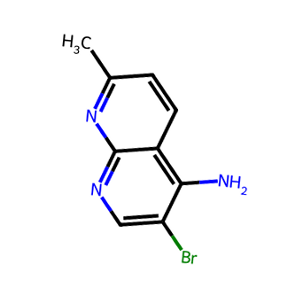 Cc1ccc2c(N)c(Br)cnc2n1